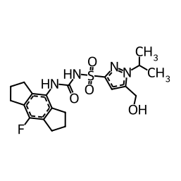 CC(C)n1nc(S(=O)(=O)NC(=O)Nc2c3c(c(F)c4c2CCC4)CCC3)cc1CO